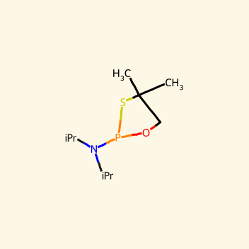 CC(C)N(C(C)C)P1OCC(C)(C)S1